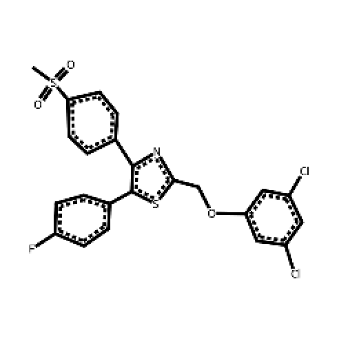 CS(=O)(=O)c1ccc(-c2nc(COc3cc(Cl)cc(Cl)c3)sc2-c2ccc(F)cc2)cc1